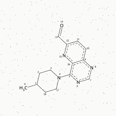 CC1CCN(c2ncnc3ccc(C=O)nc23)CC1